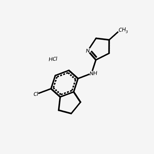 CC1CN=C(Nc2ccc(Cl)c3c2CCC3)C1.Cl